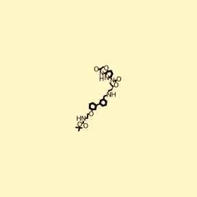 CC(C)(C)OC(=O)NCCOc1cccc(-c2cccc(CNCC[C@H]3CN(c4ccc5c(n4)NC(=O)CO5)C(=O)O3)c2)c1